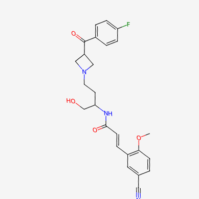 COc1ccc(C#N)cc1/C=C/C(=O)NC(CO)CCN1CC(C(=O)c2ccc(F)cc2)C1